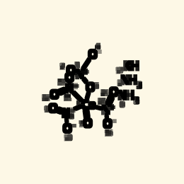 N.N.O=[N+]([O-])[O][Co](=[O])([N+](=O)[O-])([N+](=O)[O-])[N+](=O)[O-].[KH]